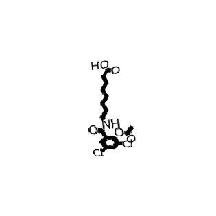 CC(=O)Oc1c(Cl)cc(Cl)cc1C(=O)NCCCCCCCC(=O)O